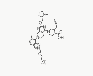 Cc1ccc2cn(COCC[Si](C)(C)C)nc2c1N1CCc2c(nc(OC[C@@H]3CCCN3C)nc2N2CCN(C(=O)O)C(CC#N)C2)C1